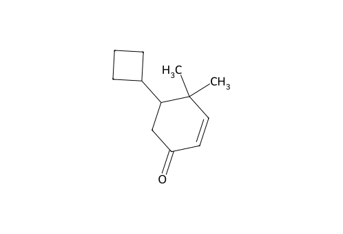 CC1(C)C=CC(=O)CC1C1CCC1